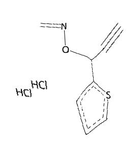 C#CC(ON=C)c1cccs1.Cl.Cl